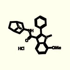 COc1cccc2c(C(=O)NC3CC4CCC(C3)N4C)c(-c3ccccc3)n(C)c12.Cl